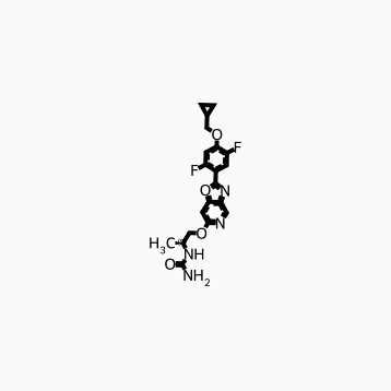 C[C@@H](COc1cc2oc(-c3cc(F)c(OCC4CC4)cc3F)nc2cn1)NC(N)=O